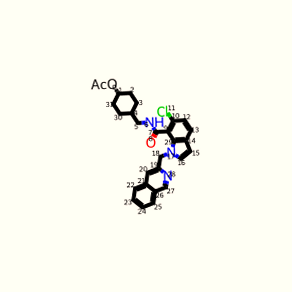 CC(=O)OC1CCC(CNC(=O)c2c(Cl)ccc3ccn(Cc4cc5ccccc5cn4)c23)CC1